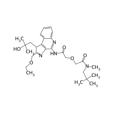 CCOCC1=Nc2c(NC(=O)COCC(=O)N(C)CC(C)(C)C)nc3ccccc3c2C1CC(C)(C)O